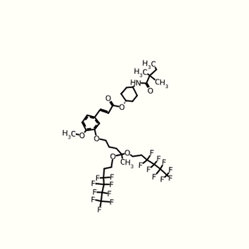 CCC(C)(C)C(=O)N[C@H]1CC[C@H](OC(=O)/C=C/c2ccc(OC)c(OCCCC(C)(OCCC(F)(F)C(F)(F)C(F)(F)C(F)(F)F)OCCC(F)(F)C(F)(F)C(F)(F)C(F)(F)F)c2)CC1